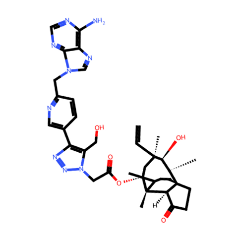 C=C[C@]1(C)C[C@@H](OC(=O)Cn2nnc(-c3ccc(Cn4cnc5c(N)ncnc54)nc3)c2CO)[C@]2(C)C(C)CC[C@]3(CCC(=O)[C@H]32)[C@@H](C)[C@@H]1O